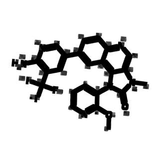 COc1ncccc1-n1c(=O)n(C)c2cnc3ccc(-c4cnc(N)c(C(F)(F)F)c4)cc3c21